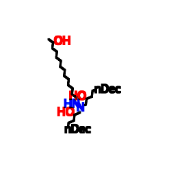 CCCCCCCCCCCCC(O)CN(CC(O)CCCCCCCCCCCC)NCCCCCCCCCCCCC(C)O